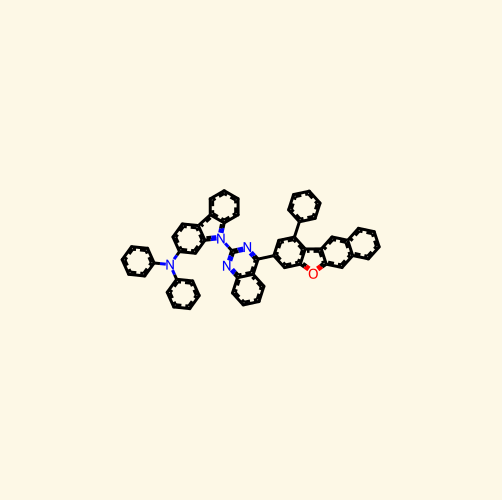 c1ccc(-c2cc(-c3nc(-n4c5ccccc5c5ccc(N(c6ccccc6)c6ccccc6)cc54)nc4ccccc34)cc3oc4cc5ccccc5cc4c23)cc1